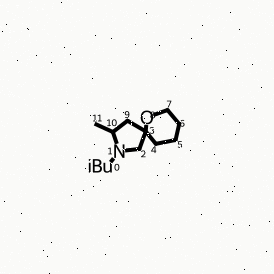 CCC(C)N1CC2(CCCCO2)CC1C